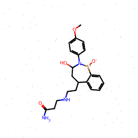 COc1ccc(N2C(O)CC(CCNCCC(N)=O)c3ccccc3[S+]2[O-])cc1